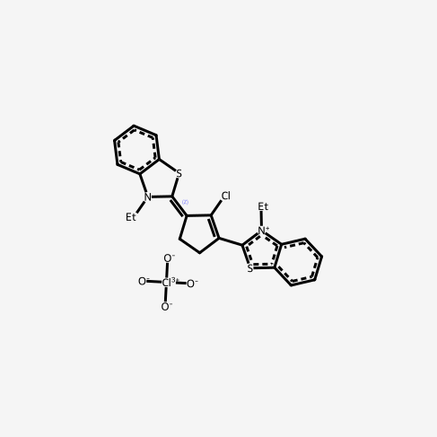 CCN1/C(=C2\CCC(c3sc4ccccc4[n+]3CC)=C2Cl)Sc2ccccc21.[O-][Cl+3]([O-])([O-])[O-]